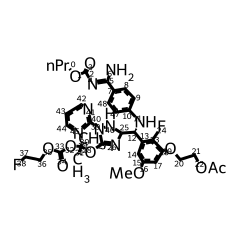 CCCOC(=O)N=C(N)c1ccc(N[C@H](c2cc(OC)cc(OCCOC(C)=O)c2F)C2N=C(OC(C)(C)OC(=O)OCCF)N(c3ncccn3)N2)cc1